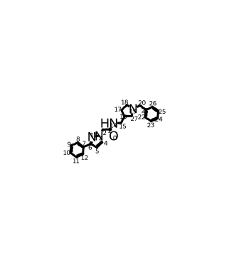 O=C(Cn1ccc(-c2ccccc2)n1)NCC1CCN(Cc2ccccc2)C1